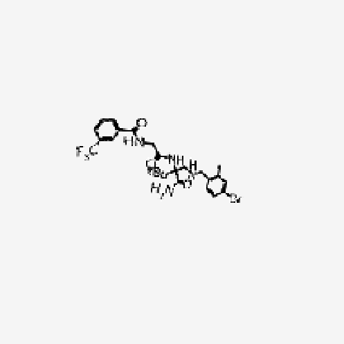 Cc1cc(Br)ccc1CNCC(NC(=O)CNC(=O)c1cccc(C(F)(F)F)c1)(C(N)=O)C(C)(C)C